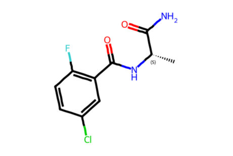 C[C@H](NC(=O)c1cc(Cl)ccc1F)C(N)=O